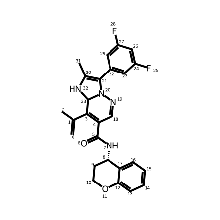 C=C(C)C1=C(C(=O)N[C@H]2CCOc3ccccc32)C=NN2C(c3cc(F)cc(F)c3)=C(C)NC12